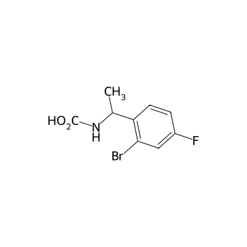 CC(NC(=O)O)c1ccc(F)cc1Br